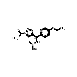 CCC(C(=O)O)n1cc([C@H](N[S+]([O-])C(C)(C)C)c2ccc(OCC(F)(F)F)cn2)nn1